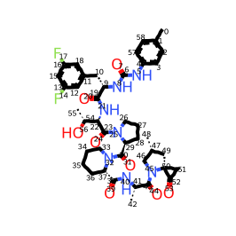 Cc1ccc(NC(=O)N[C@@H](Cc2cc(F)cc(F)c2)C(=O)N[C@H](C(=O)N2CCC[C@H]2C(=O)N2CCCC[C@H]2C(=O)N[C@@H](C)C(=O)N2C[C@H](C)C[C@@]23CC3=O)[C@@H](C)O)cc1